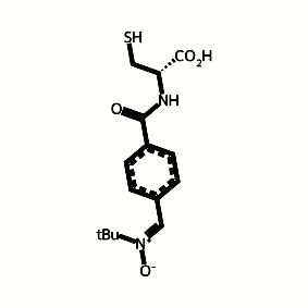 CC(C)(C)/[N+]([O-])=C\c1ccc(C(=O)N[C@H](CS)C(=O)O)cc1